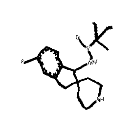 CC(C)(C)[S+]([O-])NC1c2ccc(F)cc2CC12CCNCC2